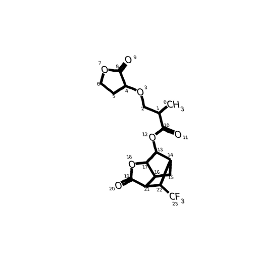 CC(COC1CCOC1=O)C(=O)OC1C2CC3C1OC(=O)C3C2C(F)(F)F